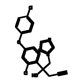 C#CCC(O)(Cn1cncn1)c1ccc(OC2=C=C=C(Cl)C=C2)cc1Cl